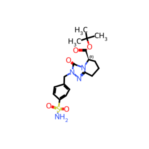 CC(C)(C)OC(=O)[C@H]1CCCc2nn(Cc3ccc(S(N)(=O)=O)cc3)c(=O)n21